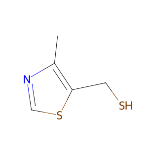 Cc1ncsc1CS